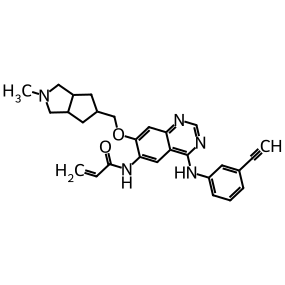 C#Cc1cccc(Nc2ncnc3cc(OCC4CC5CN(C)CC5C4)c(NC(=O)C=C)cc23)c1